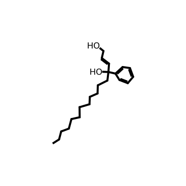 CCCCCCCCCCCCC(O)(C=CCO)c1ccccc1